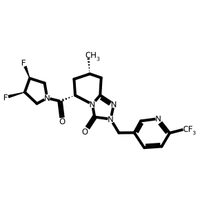 C[C@@H]1Cc2nn(Cc3ccc(C(F)(F)F)nc3)c(=O)n2[C@H](C(=O)N2C[C@@H](F)[C@@H](F)C2)C1